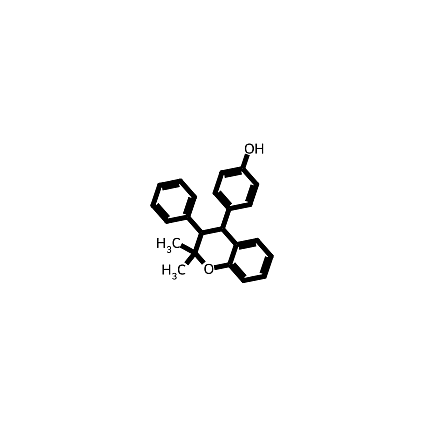 CC1(C)Oc2ccccc2C(c2ccc(O)cc2)C1c1ccccc1